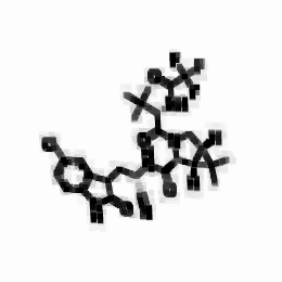 CC(C)(C)[C@H](NC(=O)C(F)(F)F)C(=O)N1C[C@H]2[C@@H]([C@H]1C(=O)N[C@H](C#N)CC1C(=O)Nc3ccc(Cl)cc31)C2(C)C